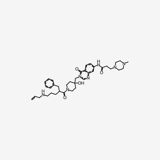 C=CCNCCCC(Cc1ccccc1)C(=O)N1CCC(O)(Cn2cnc3cc(NC(=O)CCN4CCN(C)CC4)ccc3c2=O)CC1